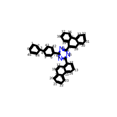 c1ccc(-c2ccc(-c3nc(-c4cccc5c4ccc4ccccc45)nc(-c4cc5ccccc5c5ccccc45)n3)cc2)cc1